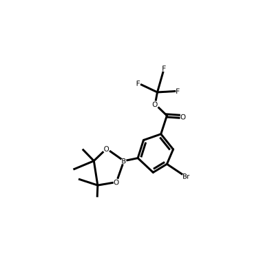 CC1(C)OB(c2cc(Br)cc(C(=O)OC(F)(F)F)c2)OC1(C)C